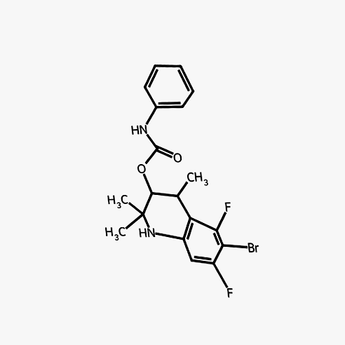 CC1c2c(cc(F)c(Br)c2F)NC(C)(C)C1OC(=O)Nc1ccccc1